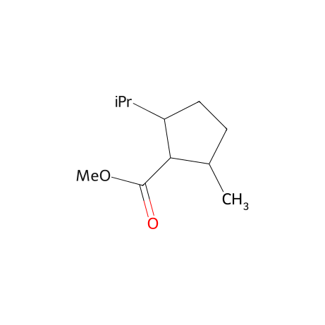 COC(=O)C1C(C)CCC1C(C)C